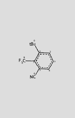 CC(C)(C)c1cccc(C#N)c1C(F)(F)F